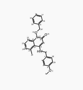 COc1ccc(CNc2cc(=O)n(OCc3ccccc3)c3ncnc(C)c23)cc1